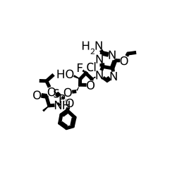 CCOc1nc(N)nc2c1ncn2[C@@H]1O[C@H](COP(=S)(N[C@@H](C)C(=O)OC(C)C)Oc2ccccc2)[C@@H](O)[C@]1(F)Cl